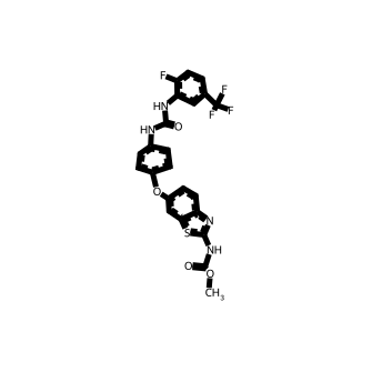 COC(=O)Nc1nc2ccc(Oc3ccc(NC(=O)Nc4cc(C(F)(F)F)ccc4F)cc3)cc2s1